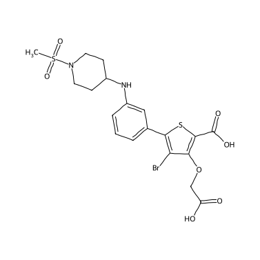 CS(=O)(=O)N1CCC(Nc2cccc(-c3sc(C(=O)O)c(OCC(=O)O)c3Br)c2)CC1